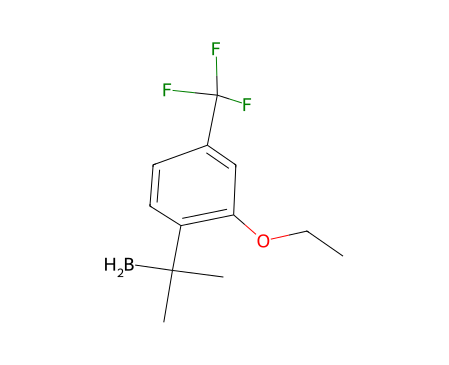 BC(C)(C)c1ccc(C(F)(F)F)cc1OCC